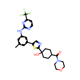 Cc1cc(Nc2nccc(C(F)(F)F)n2)cc(-c2cnc(C3(O)CCC(C(=O)N4CCOCC4)CC3)s2)c1